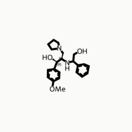 COc1ccc([C@@H](O)[C@@H](CN2CCCC2)NC(CO)c2ccccc2)cc1